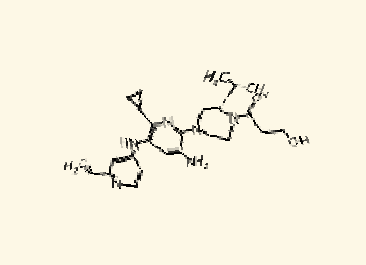 C=Cc1cc(Nc2cc(N)c(N3CCN(C(=O)CCO)[C@H](C(C)C)C3)nc2C2CC2)ccn1